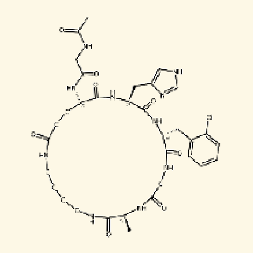 CC(=O)NCC(=O)N[C@H]1CCC(=O)NCCCCNC(=O)[C@H](C)NC(=O)CNC(=O)[C@@H](Cc2ccccc2Cl)NC(=O)[C@H](Cc2c[nH]cn2)NC1=O